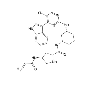 C=CC(=O)N[C@@H]1CNC(C(=O)N[C@H]2CCC[C@@H](Nc3ncc(Cl)c(-c4c[nH]c5ccccc45)n3)C2)C1